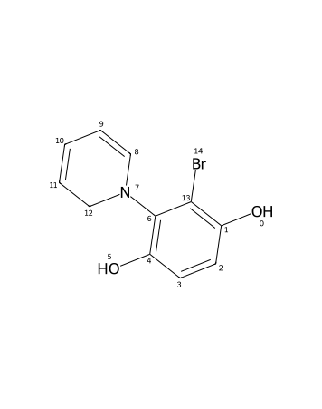 Oc1ccc(O)c(N2C=CC=CC2)c1Br